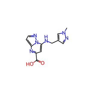 Cn1cc(CNc2cc(C(=O)O)nc3ccnn23)cn1